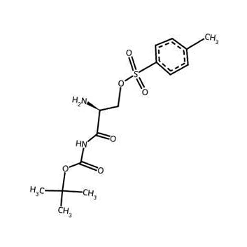 Cc1ccc(S(=O)(=O)OC[C@H](N)C(=O)NC(=O)OC(C)(C)C)cc1